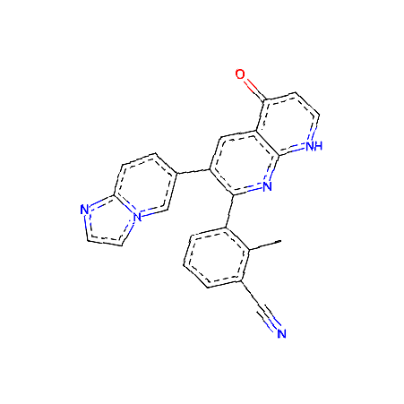 Cc1c(C#N)cccc1-c1nc2[nH]ccc(=O)c2cc1-c1ccc2nccn2c1